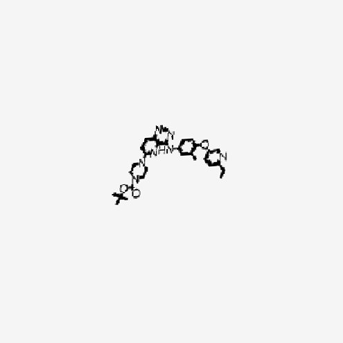 CCc1ccc(Oc2ccc(Nc3ncnc4ccc(N5CCN(C(=O)OC(C)(C)C)CC5)nc34)cc2C)cn1